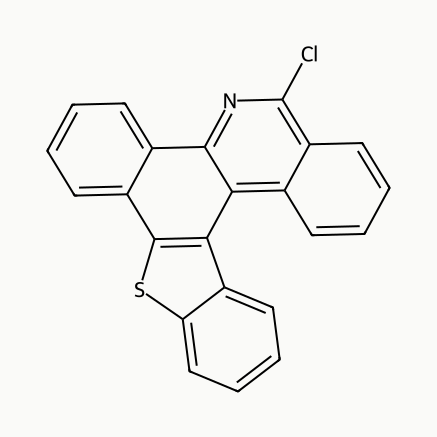 Clc1nc2c3ccccc3c3sc4ccccc4c3c2c2ccccc12